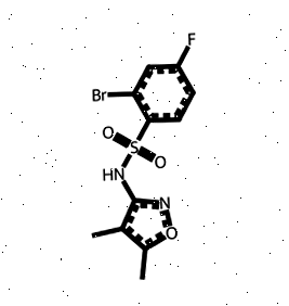 Cc1onc(NS(=O)(=O)c2ccc(F)cc2Br)c1C